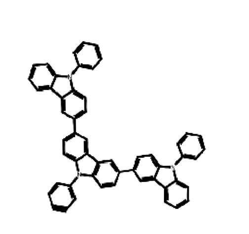 c1ccc(-n2c3ccc(-c4ccc5c(c4)c4ccccc4n5-c4ccccc4)cc3c3cc(-c4ccc5c(c4)c4ccccc4n5-c4ccccc4)ccc32)cc#1